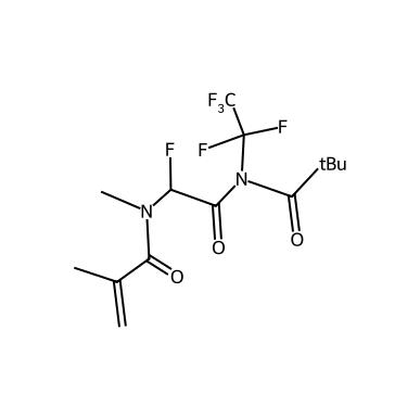 C=C(C)C(=O)N(C)C(F)C(=O)N(C(=O)C(C)(C)C)C(F)(F)C(F)(F)F